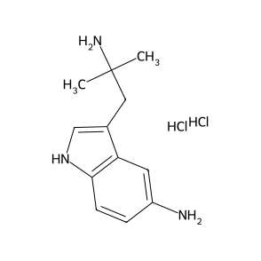 CC(C)(N)Cc1c[nH]c2ccc(N)cc12.Cl.Cl